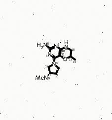 CN[C@@H]1CCN(c2nc(N)nc3c2OC(C)CN3)C1